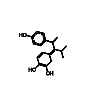 CC(C)C(=C1C=CC(O)=C(O)C1)C(C)c1ccc(O)cc1